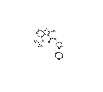 Cc1oc2ncnc(NC3(C)CC3)c2c1C(=O)Nc1cnn(-c2ccncc2)c1